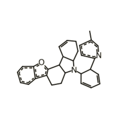 Cc1ccc(C2C=CC=CC2N2C3CCC=CC3C3c4oc5ccccc5c4CCC32)nc1